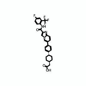 O=C(O)C[C@H]1CC[C@H](c2ccc(-c3ccc4nc(C(=O)Nc5ccc(F)cc5C(F)(F)F)cn4c3)cc2)CC1